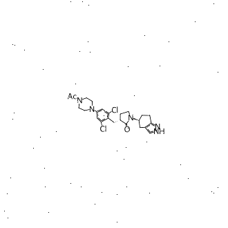 CC(=O)N1CCN(c2cc(Cl)c(C[C@@H]3CCN([C@H]4CCc5n[nH]cc5C4)C3=O)c(Cl)c2)CC1